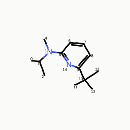 CC(C)N(C)c1cccc(C(C)(C)C)n1